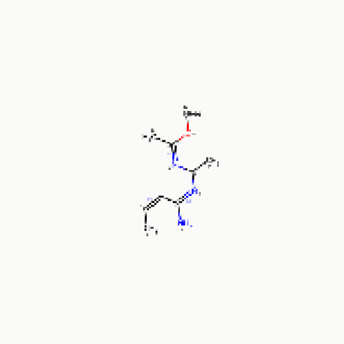 C/C=C\C(N)=N/C(C)/N=C(/C)ONC